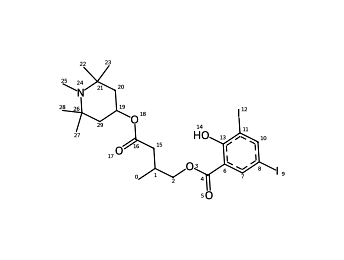 CC(COC(=O)c1cc(I)cc(I)c1O)CC(=O)OC1CC(C)(C)N(C)C(C)(C)C1